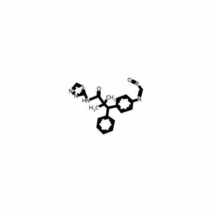 CC(C)(C(=O)Nc1nncs1)C(c1ccccc1)c1ccc(/N=C\B=O)cc1